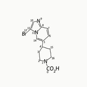 O=C(O)N1CCC(c2ccc3ncc(Br)n3c2)CC1